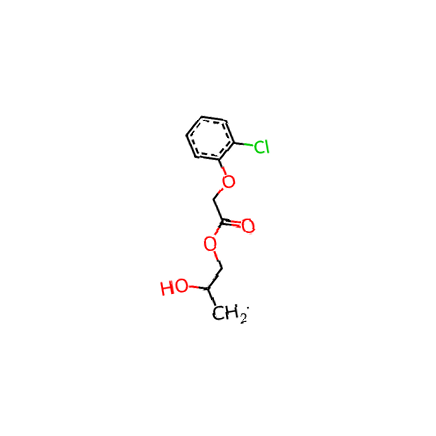 [CH2]C(O)COC(=O)COc1ccccc1Cl